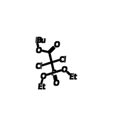 CCOP(=O)(OCC)C(Cl)(Cl)C(=O)OC(C)CC